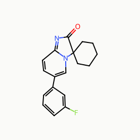 O=C1N=C2C=CC(c3cccc(F)c3)=CN2C12CCCCC2